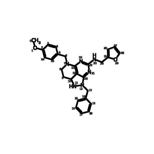 COc1ccc(CN2CCC3NN(Cc4ccccc4)c4nc(NCc5ccco5)nc2c43)cc1